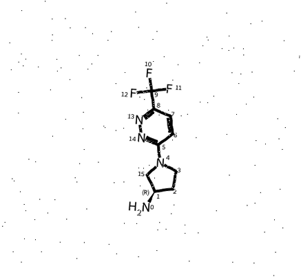 N[C@@H]1CCN(c2ccc(C(F)(F)F)nn2)C1